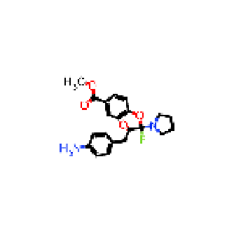 COC(=O)c1ccc(OC(F)(C(=O)Cc2ccc(N)cc2)N2CCCC2)cc1